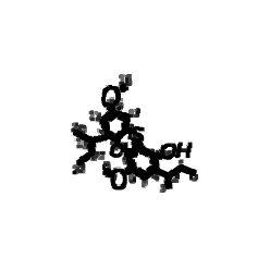 CCC(C)c1cc(OC)cc(Sc2cc(OC)cc(C(C)CC)c2O)c1O